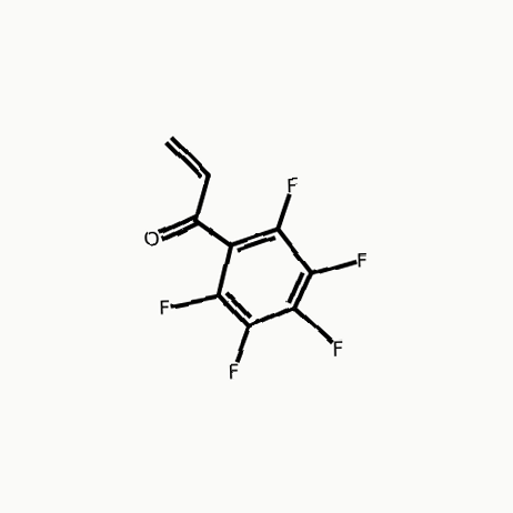 C=CC(=O)c1c(F)c(F)c(F)c(F)c1F